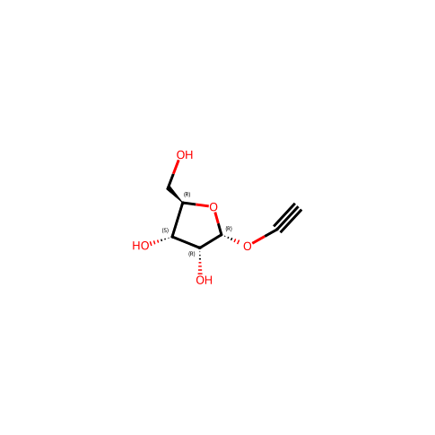 C#CO[C@H]1O[C@H](CO)[C@@H](O)[C@H]1O